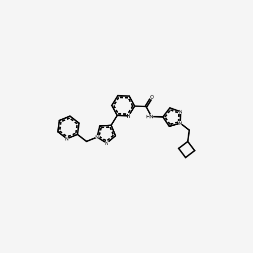 O=C(Nc1cnn(CC2CCC2)c1)c1cccc(-c2cnn(Cc3ccccn3)c2)n1